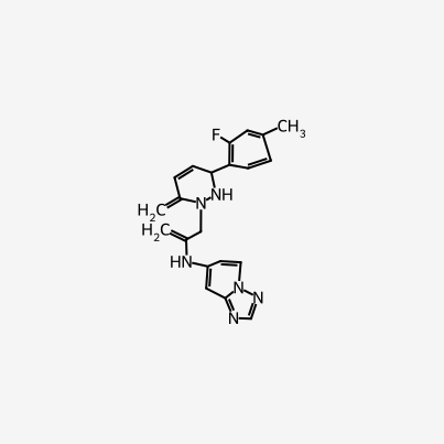 C=C(CN1NC(c2ccc(C)cc2F)C=CC1=C)Nc1ccn2ncnc2c1